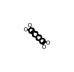 O=C1C(=O)C2C=CC1c1cc3cc4c(cc3cc12)C1C=CC4C(=O)C1=O